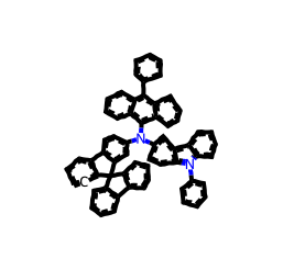 c1ccc(-c2c3ccccc3c(N(c3ccc4c(c3)C3(c5ccccc5-c5ccccc53)c3ccccc3-4)c3ccc4c(c3)c3ccccc3n4-c3ccccc3)c3ccccc23)cc1